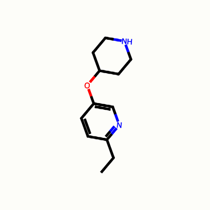 CCc1ccc(OC2CCNCC2)cn1